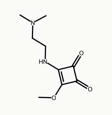 COc1c(NCCN(C)C)c(=O)c1=O